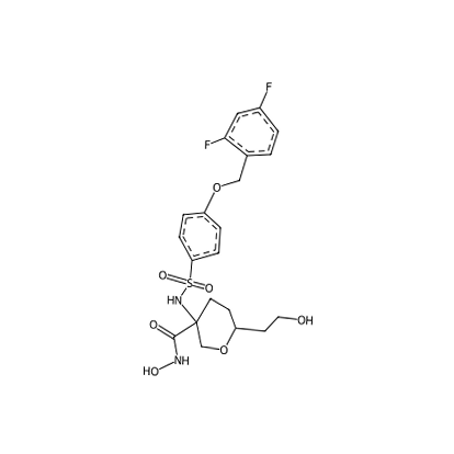 O=C(NO)C1(NS(=O)(=O)c2ccc(OCc3ccc(F)cc3F)cc2)CCC(CCO)OC1